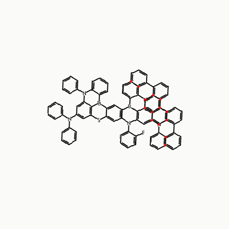 Fc1ccccc1N1c2cc3c(cc2B2c4ccccc4N(c4c(-c5ccccc5)cccc4-c4ccccc4)c4cc(N(c5ccccc5)c5c(-c6ccccc6)cccc5-c5ccccc5)cc1c42)B1c2ccccc2N(c2ccccc2)c2cc(N(c4ccccc4)c4ccccc4)cc(c21)S3